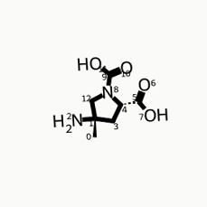 C[C@]1(N)C[C@@H](C(=O)O)N(C(=O)O)C1